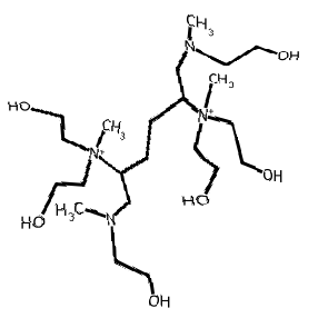 CN(CCO)CC(CCC(CN(C)CCO)[N+](C)(CCO)CCO)[N+](C)(CCO)CCO